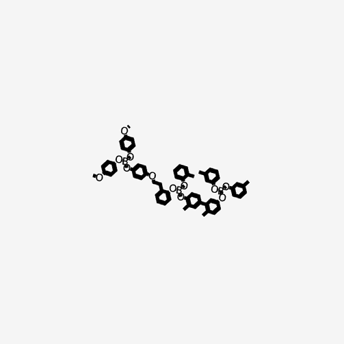 COc1ccc(OB(Oc2ccc(OC)cc2)Oc2ccc(OCCc3ccccc3OB(Oc3ccccc3C)Oc3ccc(-c4cc(OB(Oc5cccc(C)c5)Oc5cccc(C)c5)ccc4C)cc3C)cc2)cc1